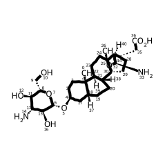 C[C@]12CC[C@H](O[C@H]3O[C@@H](CO)[C@H](O)[C@@H](N)[C@@H]3O)C[C@H]1CC[C@@H]1[C@@H]2CC[C@]2(C)[C@@H]3CC[C@]12O[C@H](N)[C@@H]3CC(=O)O